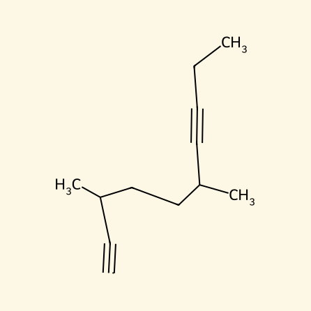 [C]#CC(C)CCC(C)C#CCC